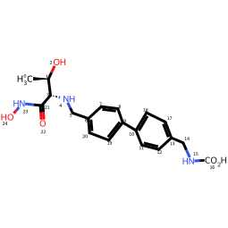 C[C@@H](O)[C@H](NCc1ccc(-c2ccc(CNC(=O)O)cc2)cc1)C(=O)NO